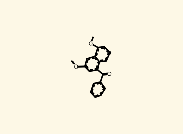 COc1cc(C(=O)c2ccccc2)c2cccc(OC)c2c1